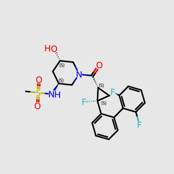 CS(=O)(=O)N[C@H]1C[C@H](O)CN(C(=O)[C@@H]2C[C@@]2(F)c2ccccc2-c2c(F)cccc2F)C1